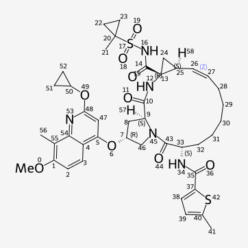 COc1ccc2c(O[C@@H]3C[C@H]4C(=O)N[C@]5(C(=O)NS(=O)(=O)C6(C)CC6)C[C@H]5/C=C\CCCCC[C@H](NC(=O)c5ccc(C)s5)C(=O)N4C3)cc(OC3CC3)nc2c1C